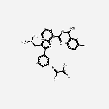 CN(C)Cc1c(-c2ccccc2)nc2c(C(=O)NC(C#N)c3cccc(F)c3)cccn12.O=C(O)C(=O)O